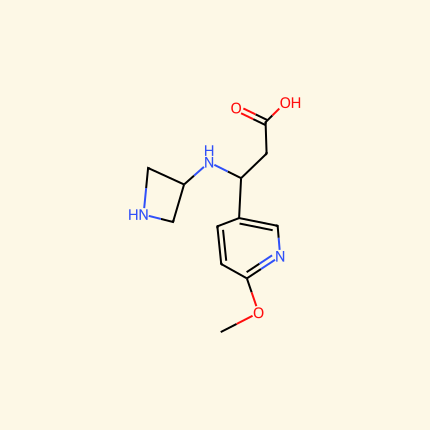 COc1ccc(C(CC(=O)O)NC2CNC2)cn1